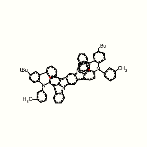 Cc1cccc(N(c2ccc(C(C)(C)C)cc2-c2ccccc2)c2ccc3c4cc5c(cc4n4c6ccccc6c2c34)c2ccc(N(c3cccc(C)c3)c3ccc(C(C)(C)C)cc3-c3ccccc3)c3c4ccccc4n5c23)c1